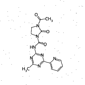 CC(=O)N1CCN(C(=O)Nc2nc(C)nc(-c3ccccn3)n2)C1=O